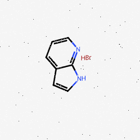 Br.c1cnc2[nH]ccc2c1